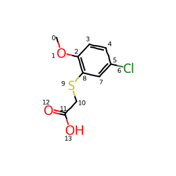 COc1ccc(Cl)cc1SCC(=O)O